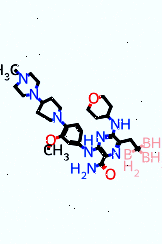 BC(B)(B)Cc1nc(C(N)=O)c(Nc2ccc(N3CCC(N4CCN(C)CC4)CC3)c(OC)c2)nc1NC1CCOCC1